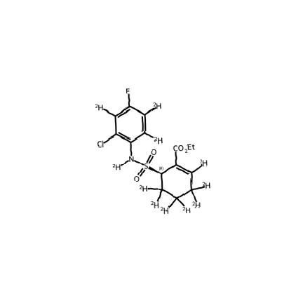 [2H]C1=C(C(=O)OCC)[C@H](S(=O)(=O)N([2H])c2c([2H])c([2H])c(F)c([2H])c2Cl)C([2H])([2H])C([2H])([2H])C1([2H])[2H]